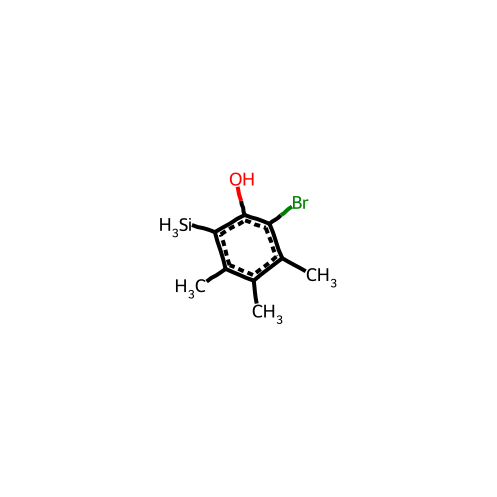 Cc1c(C)c([SiH3])c(O)c(Br)c1C